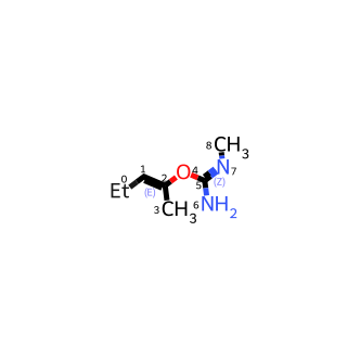 CC/C=C(\C)O/C(N)=N\C